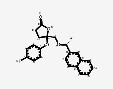 C[C@@H](OC[C@@]1(Oc2ccc(F)cc2)CCC(=O)O1)c1ccc2ccccc2c1